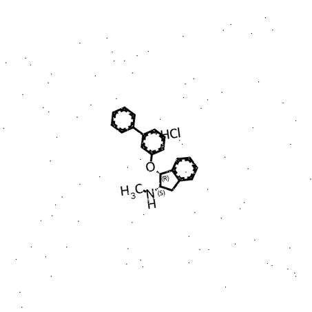 CN[C@H]1Cc2ccccc2[C@H]1Oc1cccc(-c2ccccc2)c1.Cl